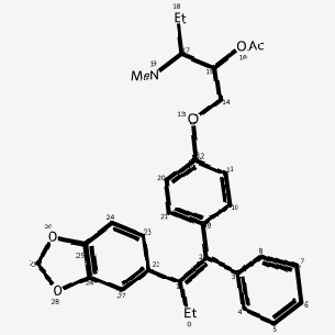 CCC(=C(c1ccccc1)c1ccc(OCC(OC(C)=O)C(CC)NC)cc1)c1ccc2c(c1)OCO2